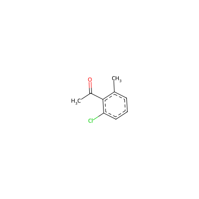 CC(=O)c1c(C)cccc1Cl